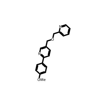 COc1ccc(-c2ccc(COCc3ccccn3)cn2)cc1